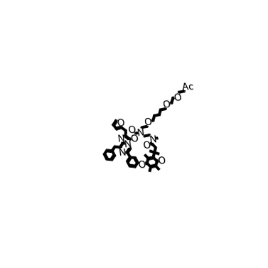 CC(=O)CCOCCOCCCCCOCCN(CCN(C)C(=O)CC(C)(C)C1=C(C)C(=O)C(C)=C(C)C1=O)C(=O)Oc1c(Cc2ccco2)nc2c(Cc3ccccc3)nc(-c3ccccc3)cn12